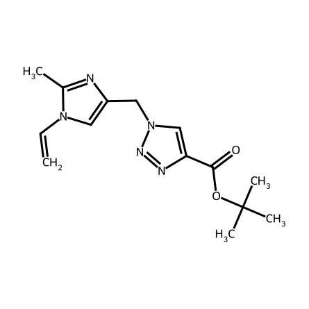 C=Cn1cc(Cn2cc(C(=O)OC(C)(C)C)nn2)nc1C